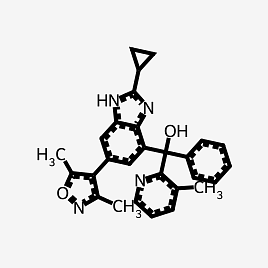 Cc1cccnc1C(O)(c1ccccc1)c1cc(-c2c(C)noc2C)cc2[nH]c(C3CC3)nc12